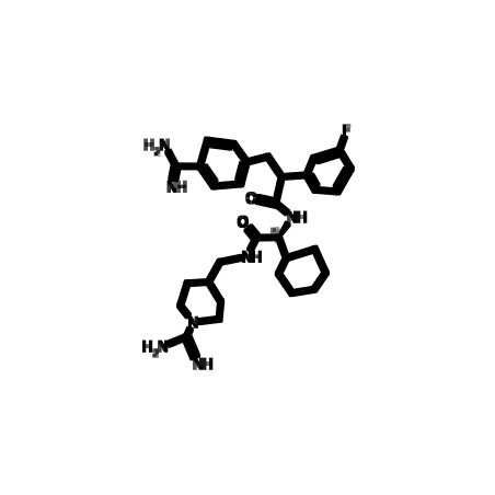 N=C(N)c1ccc(CC(C(=O)N[C@H](C(=O)NCC2CCN(C(=N)N)CC2)C2CCCCC2)c2cccc(F)c2)cc1